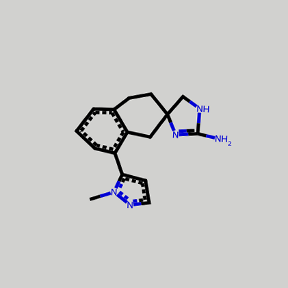 Cn1nccc1-c1cccc2c1CC1(CC2)CNC(N)=N1